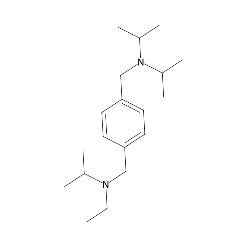 CCN(Cc1ccc(CN(C(C)C)C(C)C)cc1)C(C)C